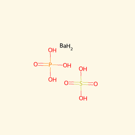 O=P(O)(O)O.O=S(=O)(O)O.[BaH2]